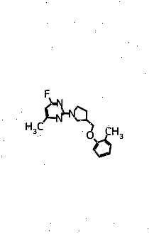 Cc1cc(F)nc(N2CCC(COc3ccccc3C)C2)n1